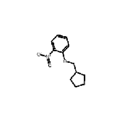 O=[N+]([O-])c1ccccc1OCC1CCCC1